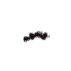 Cc1c(-c2ccc(N3CCc4cccc(C(=O)Nc5nc6ccccc6s5)c4C3)nc2C(=O)O)cnn1CC12CC3(C)CC(C)(C1)CC(OCCN(CCS(=O)(=O)O)C(=O)OCc1cc[c]cc1OCCOCCNC(=O)CCN1C(=O)C=CC1=O)(C3)C2